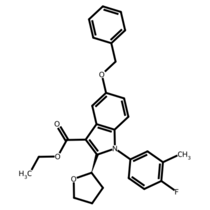 CCOC(=O)c1c([C@H]2CCCO2)n(-c2ccc(F)c(C)c2)c2ccc(OCc3ccccc3)cc12